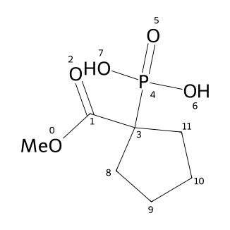 COC(=O)C1(P(=O)(O)O)CCCC1